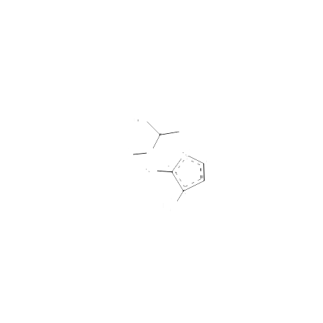 CCCCC(CCC)OC=O.Cc1cc[nH]c1C#N